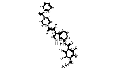 [N-]=[N+]=Nc1c(F)c(F)c(C(=O)Nc2cccc3c(C(=O)C(=O)N4CCN(C(=O)c5ccccc5)CC4)c[nH]c23)c(F)c1F